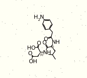 CC(C)C[C@H](NC(=O)Cc1ccc(N)cc1)C(=O)N[C@@H](CC(=O)O)C(=O)O